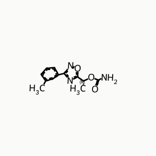 Cc1cccc(-c2noc([C@@H](C)OC(N)=O)n2)c1